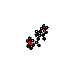 c1ccc(-c2cc(-c3ccc(-c4cccc(C5(c6ccccc6)c6ccccc6-c6ccc(N(c7ccc8c(c7)C(c7ccccc7)(c7ccccc7)c7ccccc7-8)c7ccc(-c8ccccc8)cc7-c7ccccc7)cc65)c4)cc3)cc(N(c3ccc4c(c3)C(c3ccccc3)(c3ccccc3)c3ccccc3-4)c3ccc4c(c3)C(c3ccccc3)(c3ccccc3)c3ccccc3-4)c2)cc1